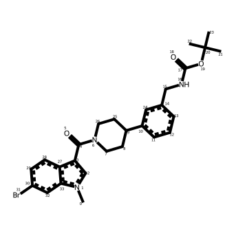 Cn1cc(C(=O)N2CCC(c3cccc(CNC(=O)OC(C)(C)C)c3)CC2)c2ccc(Br)cc21